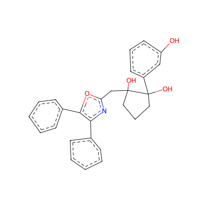 Oc1cccc(C2(O)CCCC2(O)Cc2nc(-c3ccccc3)c(-c3ccccc3)o2)c1